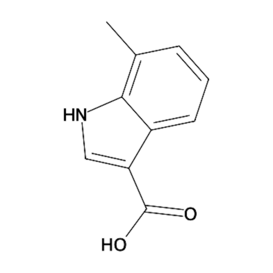 Cc1cccc2c(C(=O)O)c[nH]c12